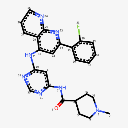 CN1CCC(C(=O)Nc2cc(Nc3cc(-c4ccccc4F)nc4ncccc34)ncn2)CC1